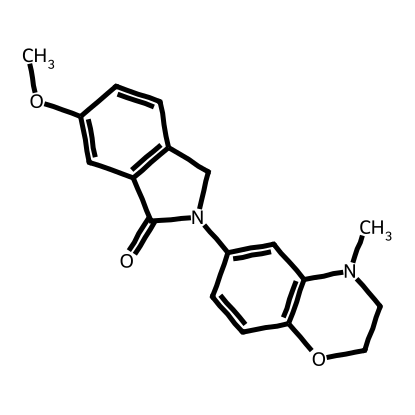 COc1ccc2c(c1)C(=O)N(c1ccc3c(c1)N(C)CCO3)C2